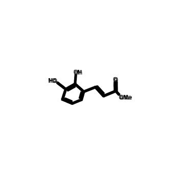 COC(=O)C=Cc1cccc(O)c1O